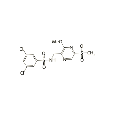 COc1nc(S(C)(=O)=O)cnc1CNS(=O)(=O)c1cc(Cl)cc(Cl)c1